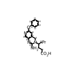 CC(C)C(CCC(=O)O)N1Cc2cc(Oc3ccccc3)ncc2N=C1N